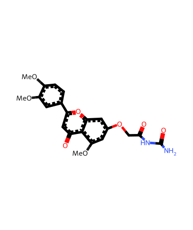 COc1ccc(-c2cc(=O)c3c(OC)cc(OCC(=O)NC(N)=O)cc3o2)cc1OC